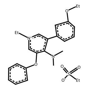 CCOc1cccc(-c2c[n+](CC)cc(Oc3ccccc3)c2N(C)C)c1.CCS(=O)(=O)[O-]